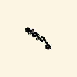 O=C(Nc1ccc(OC(=O)N2CCN(CCCc3cccnc3)CC2)cc1)c1ccccc1